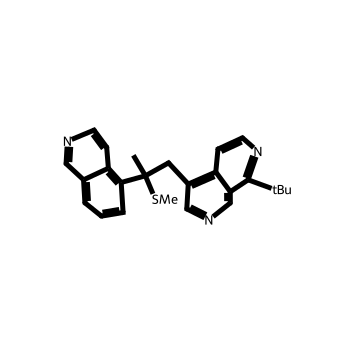 CSC(C)(Cc1cncc2c(C(C)(C)C)nccc12)c1cccc2cnccc12